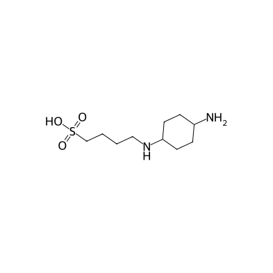 NC1CCC(NCCCCS(=O)(=O)O)CC1